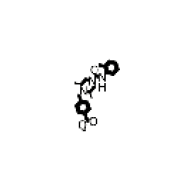 COC(=O)c1ccc(CN2[C@H](C)CN(C(=O)Nc3ccccc3C)C[C@@H]2C)cc1